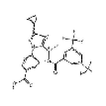 COC(=O)c1cnc(-n2nc(C3CC3)nc2[C@H](C)NC(=O)c2cc(C(F)(F)F)cc(C(F)(F)F)c2)cn1